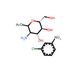 CC(=O)OC1O[C@H](CO)[C@@H](O)[C@H](O)[C@H]1N.O=[N+]([O-])c1cccc(Cl)c1